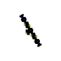 CN(C)c1ccc(-c2cc3sc(-c4ccc(-c5cc6sc(-c7ccc(N(C)C)cc7)cc6s5)c5nsnc45)cc3s2)cc1